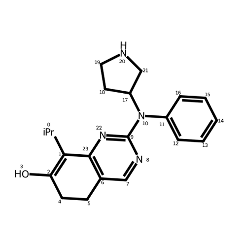 CC(C)C1=C(O)CCc2cnc(N(c3ccccc3)C3CCNC3)nc21